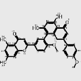 COc1ccc(C2=CC(=O)c3c(O)cc(O)c(-c4cc(-c5cc(=O)c6c(O)cc(O)cc6o5)ccc4OC)c3C2)cc1